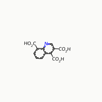 O=C(O)c1cnc2c(C(=O)O)cccc2c1C(=O)O